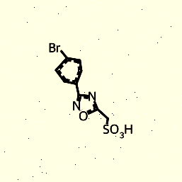 O=S(=O)(O)Cc1nc(-c2ccc(Br)cc2)no1